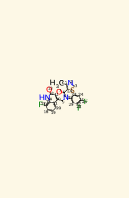 Cc1ncsc1C(=O)N(Cc1cc(=O)[nH]c2c(F)cccc12)c1ccc(F)c(F)c1